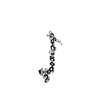 Cn1nc(N2CCC(=O)NC2=O)c2ccc(C3CCN(CC(=O)N4CC5(CCN(c6ccc(-c7cc(F)c8c(c7)C(=O)N(C(C(=O)Nc7nccs7)c7ncn9c7CCC9)C8)cc6)CC5)C4)CC3(F)F)cc21